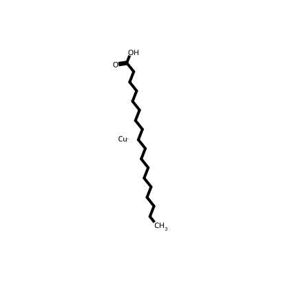 CCCCCCCCCCCCCCCCCC(=O)O.[Cu]